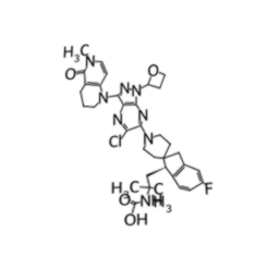 Cn1ccc2c(c1=O)CCCN2c1nn(C2CCO2)c2nc(N3CCC4(CC3)Cc3cc(F)ccc3[C@H]4CC(C)(C)NC(=O)O)c(Cl)nc12